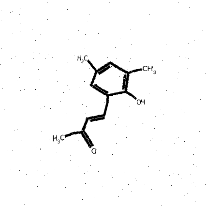 CC(=O)C=Cc1cc(C)cc(C)c1O